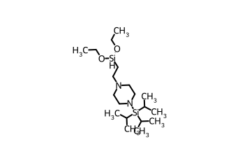 CCO[SiH](CCN1CCN([Si](C(C)C)(C(C)C)C(C)C)CC1)OCC